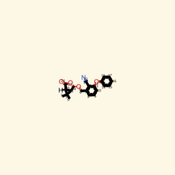 CC1(C)C2[C@H](OCc3cccc(Oc4ccccc4)c3C#N)OC(=O)[C@H]21